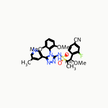 COc1cccc(OC)c1-n1c(NS(=O)(=O)[C@H](C)[C@H](OC)c2ccc(C#N)cc2F)nnc1-c1cncc(C)c1